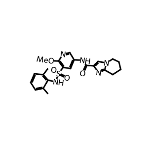 COc1ncc(NC(=O)c2cn3c(n2)CCCC3)cc1S(=O)(=O)Nc1c(C)cccc1C